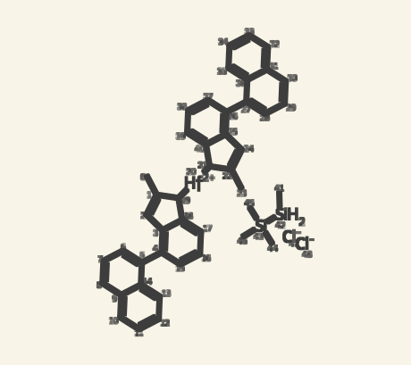 CC1=Cc2c(-c3cccc4ccccc34)cccc2[CH]1[Hf+2][CH]1C(C)=Cc2c(-c3cccc4ccccc34)cccc21.C[SiH2][Si](C)(C)C.[Cl-].[Cl-]